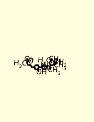 CC(CCCc1ccc(-c2ccc(N(C)C3CC(C)(C)NC(C)(C)C3)nn2)c(O)c1)[N+](=O)[O-]